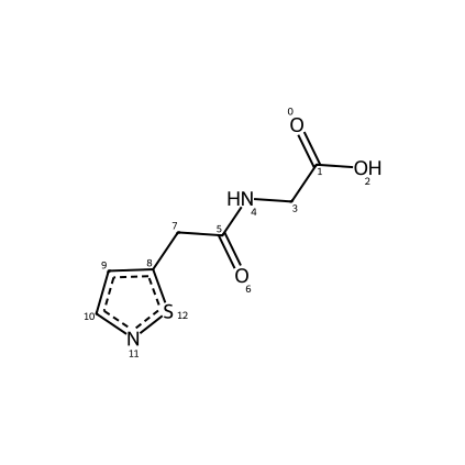 O=C(O)CNC(=O)Cc1ccns1